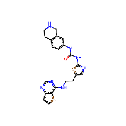 O=C(Nc1ccc2c(c1)CNCC2)Nc1ncc(CCNc2ncnc3ccsc23)s1